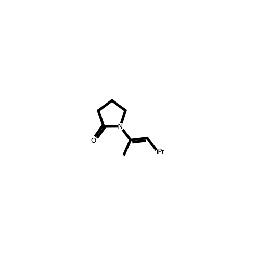 C/C(=C\C(C)C)N1CCCC1=O